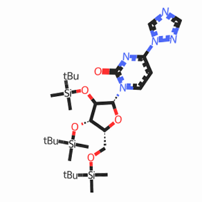 CC(C)(C)[Si](C)(C)OC[C@H]1O[C@@H](n2ccc(-n3cncn3)nc2=O)C(O[Si](C)(C)C(C)(C)C)[C@H]1O[Si](C)(C)C(C)(C)C